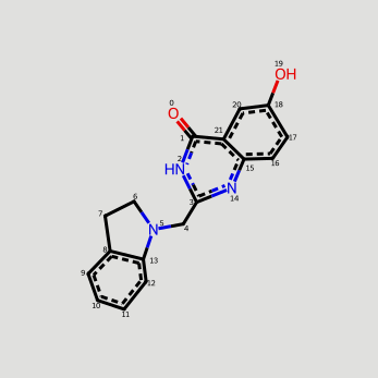 O=c1[nH]c(CN2CCc3ccccc32)nc2ccc(O)cc12